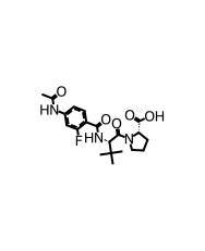 CC(=O)Nc1ccc(C(=O)N[C@H](C(=O)N2CCC[C@H]2C(=O)O)C(C)(C)C)c(F)c1